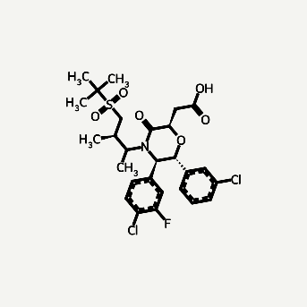 CC([C@@H](C)CS(=O)(=O)C(C)(C)C)N1C(=O)[C@@H](CC(=O)O)O[C@H](c2cccc(Cl)c2)[C@H]1c1ccc(Cl)c(F)c1